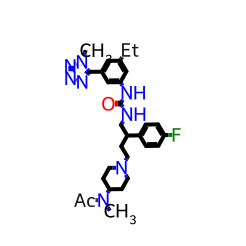 CCc1cc(NC(=O)NCC(CCN2CCC(N(C)C(C)=O)CC2)c2ccc(F)cc2)cc(-c2nnnn2C)c1